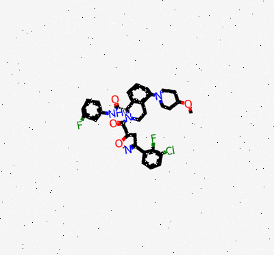 COC1CCN(c2cccc3c2CCN(C(=O)C2CC(c4cccc(Cl)c4F)=NO2)[C@@H]3C(=O)Nc2cccc(F)c2)CC1